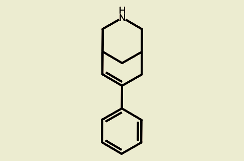 C1=C(c2ccccc2)CC2CNCC1C2